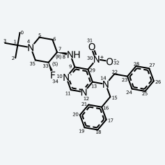 CC(C)(C)N1CC[C@@H](Nc2ncnc(N(Cc3ccccc3)Cc3ccccc3)c2[N+](=O)[O-])[C@@H](F)C1